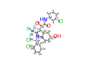 O=C(Nc1cccc(Cl)c1)C(=O)c1c(C(F)(F)F)n(C(Cl)c2ccccc2Cl)c2ccc(O)cc12